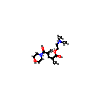 CCC(CC(C)C(=O)OCCN(C)C)C(=O)N1CCOCC1